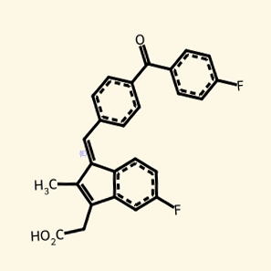 CC1=C(CC(=O)O)c2cc(F)ccc2/C1=C\c1ccc(C(=O)c2ccc(F)cc2)cc1